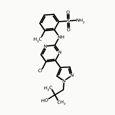 Cc1cccc(S(N)(=O)=O)c1Nc1ncc(Cl)c(-c2cnn(CC(C)(C)O)c2)n1